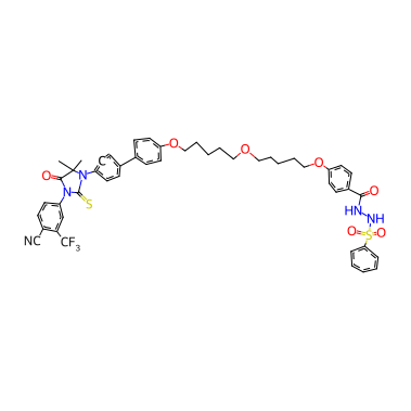 CC1(C)C(=O)N(c2ccc(C#N)c(C(F)(F)F)c2)C(=S)N1c1ccc(-c2ccc(OCCCCCOCCCCCOc3ccc(C(=O)NNS(=O)(=O)c4ccccc4)cc3)cc2)cc1